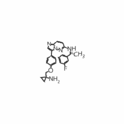 C[C@@H](Nc1ccc2ncc(-c3ccc(OCC4(N)CC4)cc3)n2n1)c1cccc(F)c1